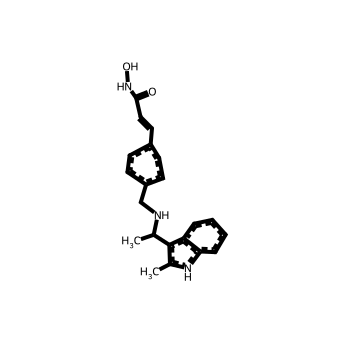 Cc1[nH]c2ccccc2c1C(C)NCc1ccc(/C=C/C(=O)NO)cc1